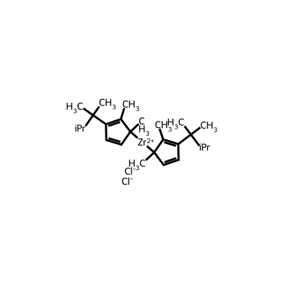 CC1=C(C(C)(C)C(C)C)C=C[C]1(C)[Zr+2][C]1(C)C=CC(C(C)(C)C(C)C)=C1C.[Cl-].[Cl-]